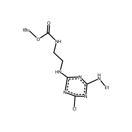 CCNc1nc(Cl)nc(NCCNC(=O)OC(C)(C)C)n1